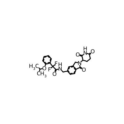 CC(C)Oc1ccccc1C(F)(F)C(=O)NCc1ccc2c(c1)CN(C1CCC(=O)NC1=O)C2=O